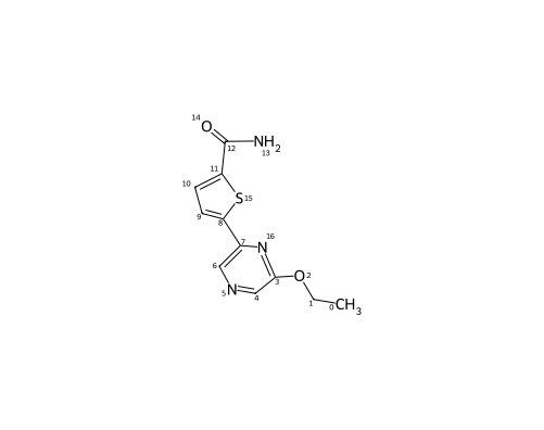 CCOc1cncc(-c2ccc(C(N)=O)s2)n1